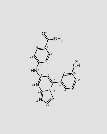 NC(=O)c1ccc(Nc2cc(-c3cccc(O)c3)n3ncnc3n2)cc1